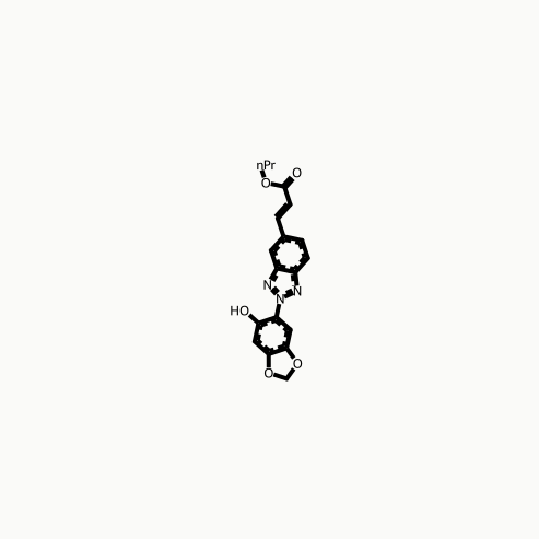 CCCOC(=O)C=Cc1ccc2nn(-c3cc4c(cc3O)OCO4)nc2c1